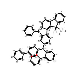 CC1(C)c2ccccc2-c2ccc3c(c21)c1ccc(N(c2ccc(-c4ccccc4)cc2)c2ccccc2-c2ccccc2)cc1n3-c1ccccc1